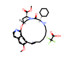 COC(=O)[C@@H]1C[C@@H]2CN1C(=O)[C@H](C1CCCCC1)NCCCCC/C=C/c1cc3c(nccc3cc1OC)O2.O=C(O)C(F)(F)F